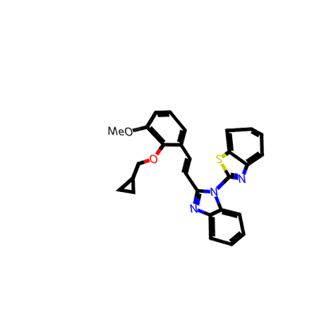 COc1cccc(/C=C/c2nc3ccccc3n2-c2nc3ccccc3s2)c1OCC1CC1